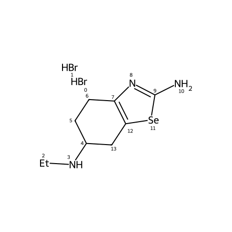 Br.Br.CCNC1CCc2nc(N)[se]c2C1